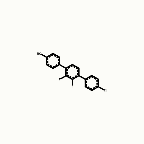 CCc1ccc(-c2ccc(-c3ccc(C#N)cc3)c(F)c2F)cc1